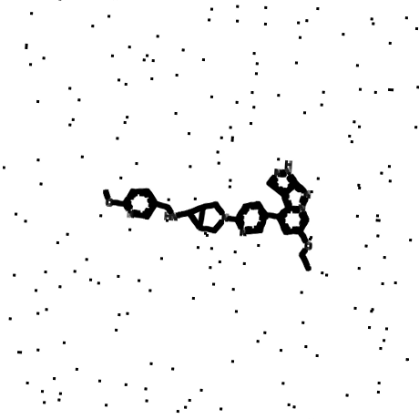 CCOc1cc(-c2ccc(N3CC4C(C3)C4NCc3ccc(OC)nc3)nc2)c2c3cn[nH]c3nn2c1